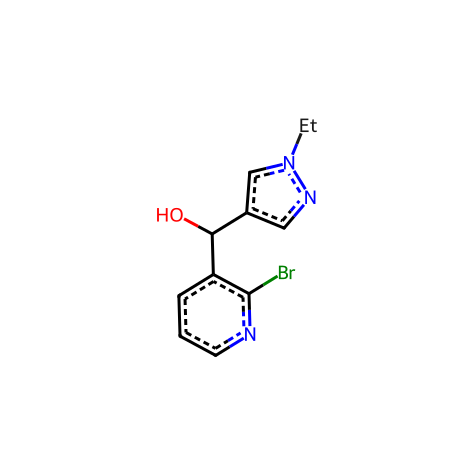 CCn1cc(C(O)c2cccnc2Br)cn1